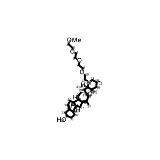 COCCOCCOCCOCCN1C[C@@H](C)C[C@H]2O[C@]3(CC[C@@H]4C(=C(C)C3)C[C@H]3[C@H]4CC=C4C[C@@H](O)CC[C@@]43C)[C@H](C)[C@@H]21